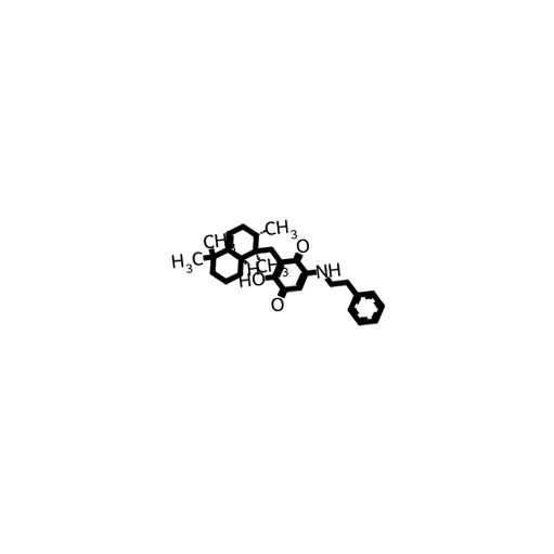 C[C@H]1CC=C2[C@@H](CCCC2(C)C)[C@]1(C)CC1=C(O)C(=O)C=C(NCCc2ccccc2)C1=O